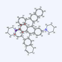 C1=Cc2cc(-c3ccccc3)c(-c3c4ccc(N5CCCCC5)cc4c(-c4cc5ccccc5cc4-c4ccccc4)c4ccc(N5CCCCC5)cc34)cc2CC1